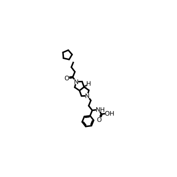 C1CCCC1.CCCC(=O)N1CC2CN(CCC(NC(=O)O)c3ccccc3)C[C@H]2C1